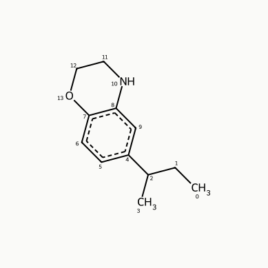 CCC(C)c1ccc2c(c1)NCCO2